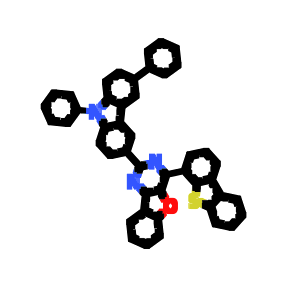 c1ccc(-c2ccc3c(c2)c2cc(-c4nc(-c5cccc6c5sc5ccccc56)c5oc6ccccc6c5n4)ccc2n3-c2ccccc2)cc1